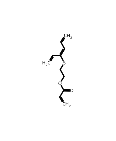 C=C/C=C(\C=C)SCCOC(=O)C=C